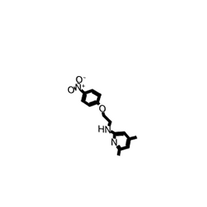 Cc1cc(C)nc(NCCOc2ccc([N+](=O)[O-])cc2)c1